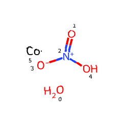 O.O=[N+]([O-])O.[Co]